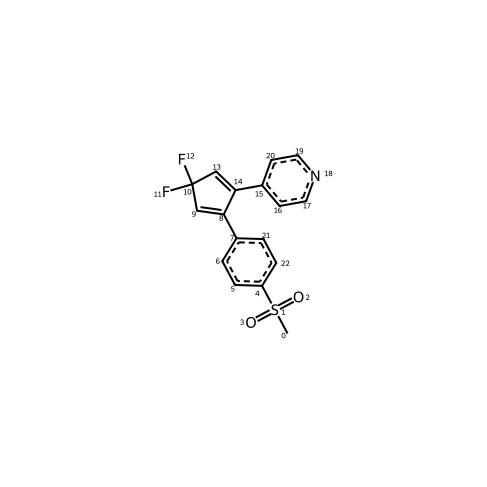 CS(=O)(=O)c1ccc(C2=CC(F)(F)C=C2c2ccncc2)cc1